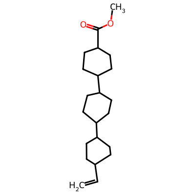 C=CC1CCC(C2CCC(C3CCC(C(=O)OC)CC3)CC2)CC1